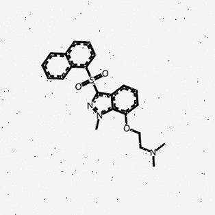 CN(C)CCOc1cccc2c(S(=O)(=O)c3cccc4ccccc34)nn(C)c12